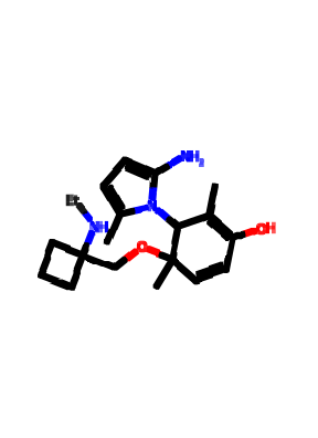 CCNC1(COC2(C)C=CC(O)=C(C)C2n2c(C)ccc2N)CCC1